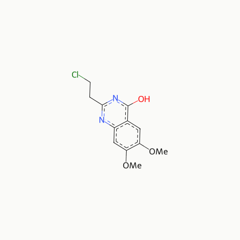 COc1cc2nc(CCCl)nc(O)c2cc1OC